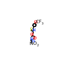 O=[N+]([O-])c1cn2c(n1)OCC(OCc1csc(-c3ccc(OC(F)(F)F)cc3)n1)C2